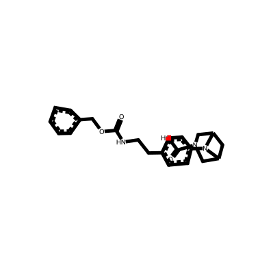 O=C(NCCc1ccc(N2C3CC2CN(C(=O)O)C3)cc1)OCc1ccccc1